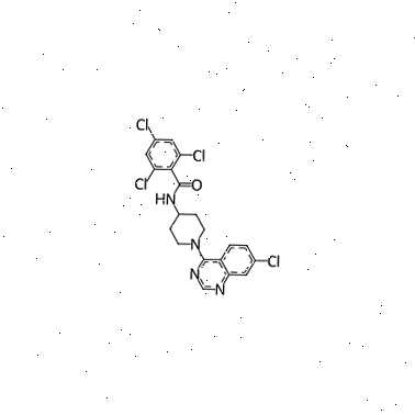 O=C(NC1CCN(c2ncnc3cc(Cl)ccc23)CC1)c1c(Cl)cc(Cl)cc1Cl